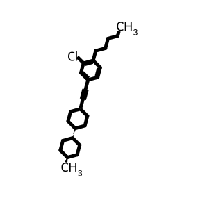 CCCCCc1ccc(C#CC2CCC([C@H]3CC[C@H](C)CC3)CC2)cc1Cl